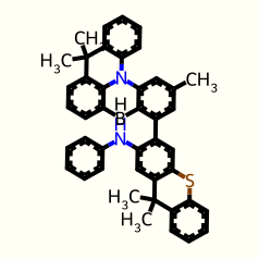 Cc1cc(-c2cc3c(cc2Nc2ccccc2)C(C)(C)c2ccccc2S3)c2c(c1)N1c3ccccc3C(C)(C)c3cccc(c31)B2